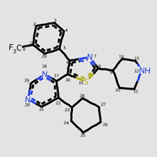 FC(F)(F)c1cccc(-c2nc(C3CCNCC3)sc2-c2n[c]ncc2C2CCCCC2)c1